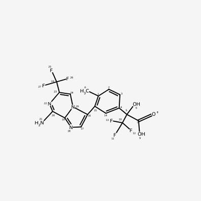 Cc1ccc(C(O)(C(=O)O)C(F)(F)F)cc1-c1cnc2c(N)nc(C(F)(F)F)cn12